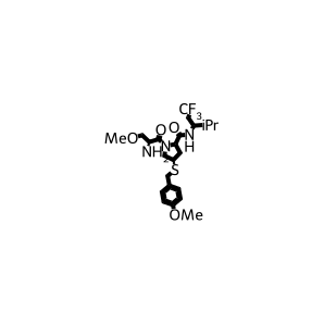 COC[C@H](N)C(=O)N1C[C@H](SCc2ccc(OC)cc2)CC1C(=O)NC(CC(F)(F)F)C(C)C